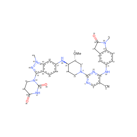 CO[C@@H]1CN(c2ncc(C#N)c(Nc3ccc4c(c3)CC(=O)N4C)n2)CC[C@H]1Nc1ccc2c(N3CCC(=O)NC3=O)nn(C)c2c1